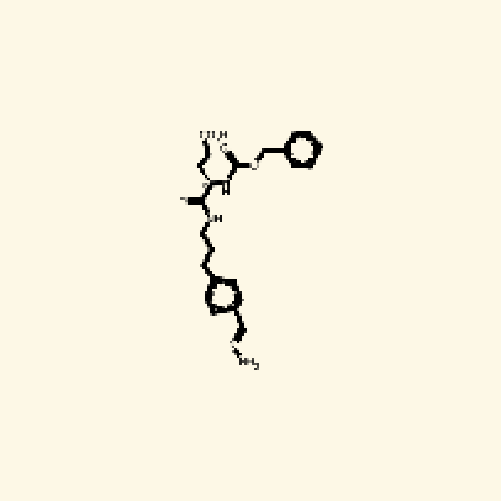 NN=Cc1ccc(CCCNC(=O)[C@@H](CCC(=O)O)NC(=O)OCc2ccccc2)cc1